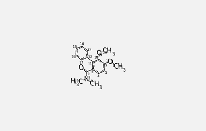 COc1ccc(C(=O)N(C)C)c(-c2ccccc2)c1OC